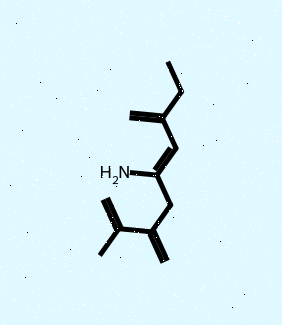 C=C(/C=C(\N)CC(=C)C(=C)C)CC